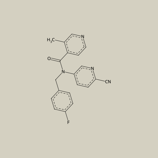 Cc1cnccc1C(=O)N(Cc1ccc(F)cc1)c1ccc(C#N)nc1